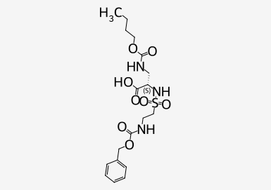 CCCCOC(=O)NC[C@H](NS(=O)(=O)CCNC(=O)OCc1ccccc1)C(=O)O